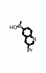 CB(O)c1ccc2ncc(C(C)C)cc2c1